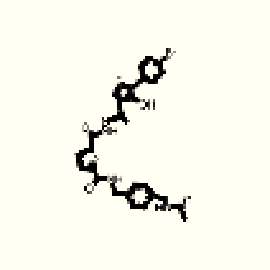 CC(=O)NCc1ccc(CNC(=O)c2ccc(C(=O)N/N=C(\C)c3csc(-c4ccc(Br)cc4)c3O)s2)cc1